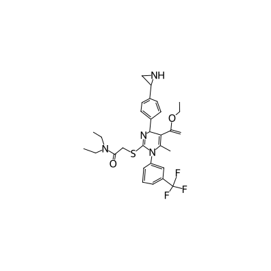 C=C(OCC)C1=C(C)N(c2cccc(C(F)(F)F)c2)C(SCC(=O)N(CC)CC)=NC1c1ccc(C2CN2)cc1